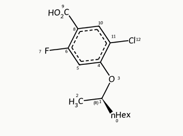 CCCCCC[C@@H](C)Oc1cc(F)c(C(=O)O)cc1Cl